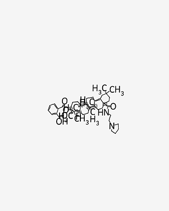 CC1(C)CC[C@]2(C(=O)NCCN3CCCC3)CC[C@]3(C)C(=C2C1)CC[C@@H]1[C@@]2(C)CC[C@H](OC(=O)c4ccccc4C(=O)O)C(C)(C)[C@@H]2CC[C@]13C